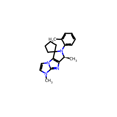 Cc1ccccc1N1[C@@H](C)c2nc3n(C)ccn3c2C12CCCC2